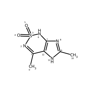 CC1=NS(=O)(=O)Nc2nc(C)[nH]c21